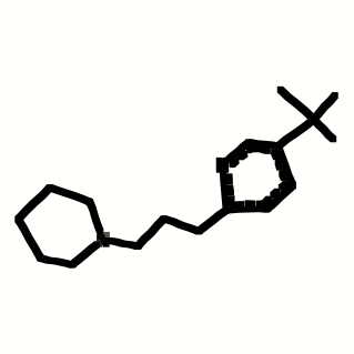 CC(C)(C)c1ccc(CCCN2CCCCC2)nc1